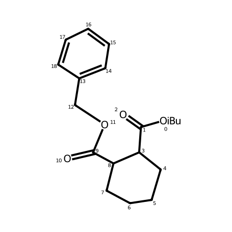 CC(C)COC(=O)C1CCCCC1C(=O)OCc1ccccc1